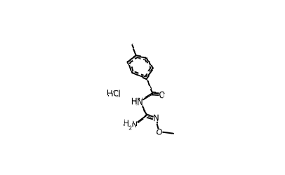 CON=C(N)NC(=O)c1ccc(C)cc1.Cl